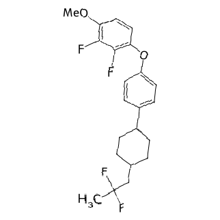 COc1ccc(Oc2ccc(C3CCC(CC(C)(F)F)CC3)cc2)c(F)c1F